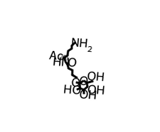 CC(=O)[C@H](CCCCN)NC(=O)CCCCOC1OC(CO)C(O)C(O)C1O